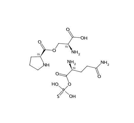 NC(=O)CC[C@H](N)C(=O)OP(O)(O)=S.N[C@@H](COC(=O)[C@@H]1CCCN1)C(=O)O